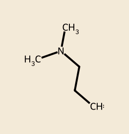 [CH]CCN(C)C